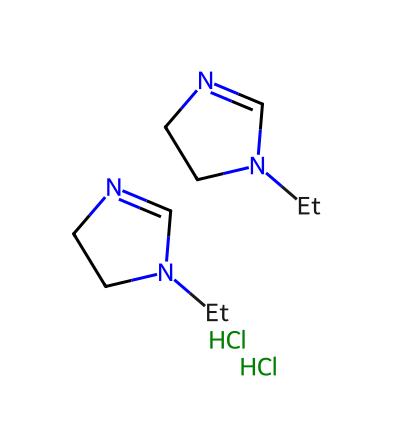 CCN1C=NCC1.CCN1C=NCC1.Cl.Cl